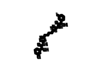 O=C(Nc1nnc(CCCCc2nnc(NC(=O)C(O)c3cccc(I)c3)s2)s1)C(O)c1cccc(Cl)c1